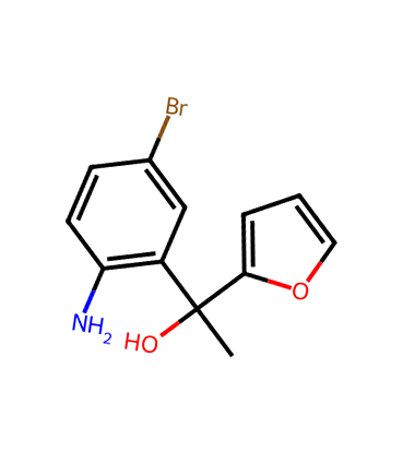 CC(O)(c1ccco1)c1cc(Br)ccc1N